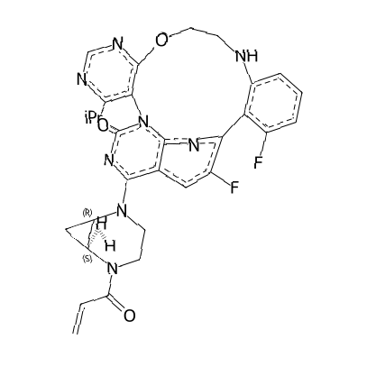 C=CC(=O)N1CCN(c2nc(=O)n3c4nc(c(F)cc24)-c2c(F)cccc2NCCOc2ncnc(C(C)C)c2-3)[C@@H]2C[C@@H]21